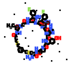 CCC[C@@H]1NC(=O)CCSCc2cccc(c2)CSC[C@@H](C(N)=O)NC(=O)[C@@H]2CCCN2C(=O)[C@H](Cc2ccc(O)cc2)NC(=O)[C@H](Cc2c[nH]cn2)NC(=O)[C@H](CC(=O)O)NC(=O)[C@H](Cc2c[nH]c3ccc(F)cc23)NC(=O)[C@H](Cc2c[nH]c3ccc(F)cc23)NC(=O)CNC1=O